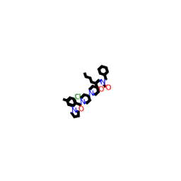 CCCCC1CN(CC2CCCCC2)C(=O)OC12CCN(C1CCN(C(=O)c3c(Cl)cc(C)cc3N3CCCC3)CC1)CC2